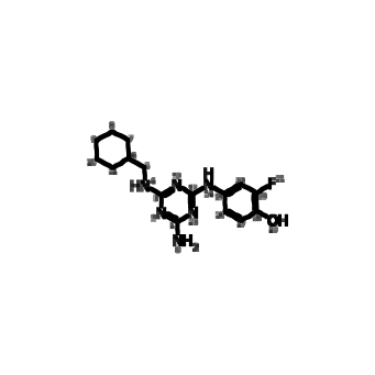 Nc1nc(NCC2CCCCC2)nc(Nc2ccc(O)c(F)c2)n1